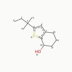 CCC(C)(C)c1cc2c(s1)C(O)CCC2